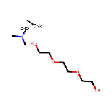 CN(C)C=O.COC.OCCOCCOCCO